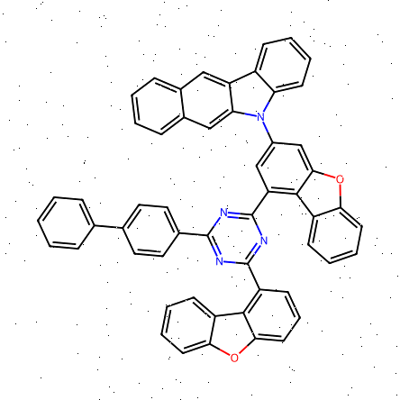 c1ccc(-c2ccc(-c3nc(-c4cccc5oc6ccccc6c45)nc(-c4cc(-n5c6ccccc6c6cc7ccccc7cc65)cc5oc6ccccc6c45)n3)cc2)cc1